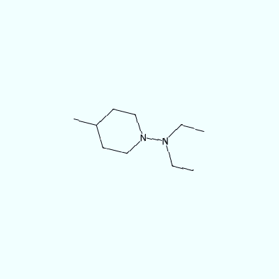 CCN(CC)N1CCC(C)CC1